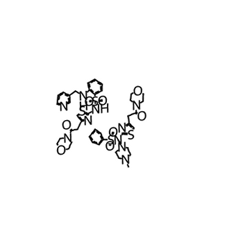 CN1CCN(N(c2nc(CC(=O)N3CCOCC3)cs2)S(=O)(=O)c2ccccc2)CC1.O=C(Cc1csc(NS(=O)(=O)c2ccccc2NCc2cccnc2)n1)N1CCOCC1